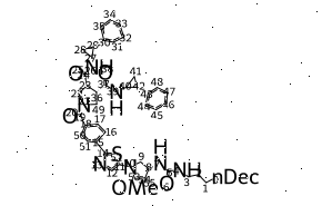 CCCCCCCCCCCCCNC(=O)N[C@H]1CN(c2cnc(-c3ccc(C(=O)N4C[C@@H](C(=O)N[C@H]5C[C@@H]5c5ccccc5)[C@H](C(=O)N[C@H]5C[C@@H]5c5ccccc5)C4)cc3)s2)C[C@@H]1OC